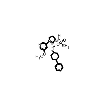 COc1cncc(N2CC[C@H](NS(C)(=O)=O)[C@@H]2COC2CCC(c3ccccc3)CC2)c1